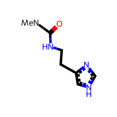 CNC(=O)NCCc1c[nH]cn1